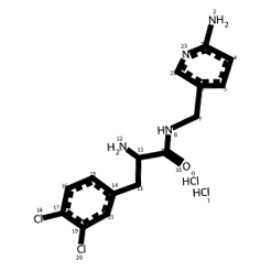 Cl.Cl.Nc1ccc(CNC(=O)C(N)Cc2ccc(Cl)c(Cl)c2)cn1